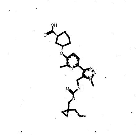 CCCC1(COC(=O)NCc2c(-c3ccc(O[C@H]4CCC[C@H](C(=O)O)C4)c(C)n3)nnn2C)CC1